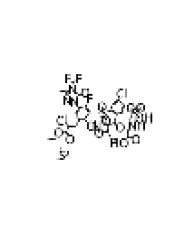 CCOC(=O)C(Cl)Cc1cc(-n2nc(C)n(C(F)F)c2=O)c(F)cc1Cl.CS(=O)(=O)c1cc(Cl)ccc1C(=O)c1cnoc1C1CC1.C[S+](C)C.O=C(O)CNCP(=O)([O-])O